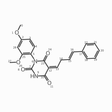 COc1ccc(N2C(=O)NC(=O)C(=CCC=Cc3ccccc3)C2=O)c(OC)c1